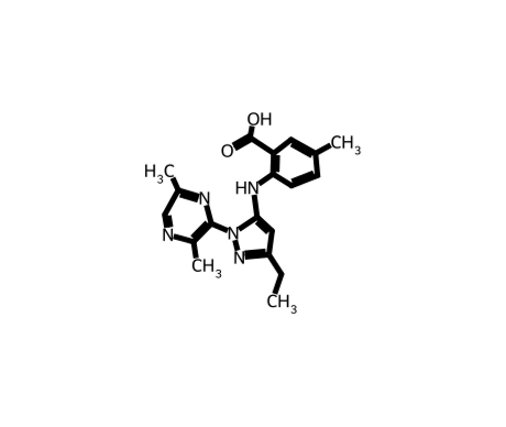 CCc1cc(Nc2ccc(C)cc2C(=O)O)n(-c2nc(C)cnc2C)n1